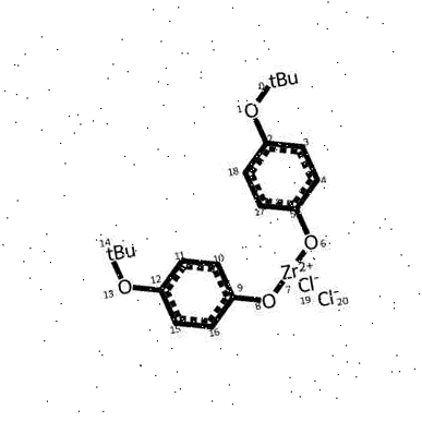 CC(C)(C)Oc1ccc([O][Zr+2][O]c2ccc(OC(C)(C)C)cc2)cc1.[Cl-].[Cl-]